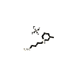 CCCCCCCCCCCCCC[NH+]1CCCC(C)C1.F[B-](F)(F)F